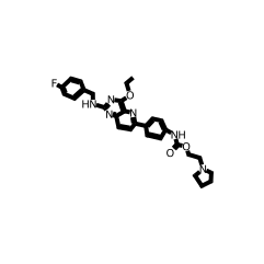 CCOc1nc(NCc2ccc(F)cc2)nc2ccc(-c3ccc(NC(=O)OCCN4CCCC4)cc3)nc12